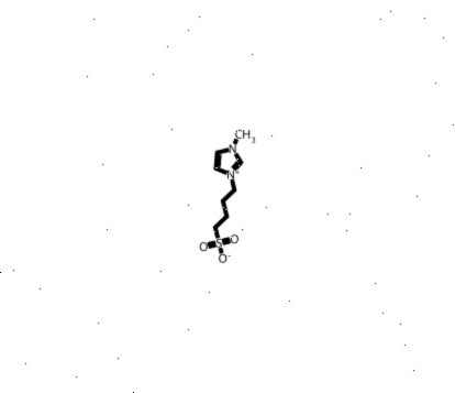 Cn1cc[n+](CCCCS(=O)(=O)[O-])c1